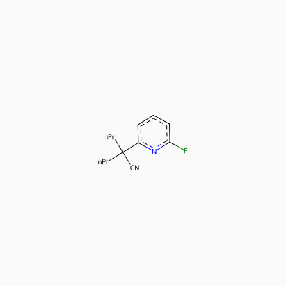 CCCC(C#N)(CCC)c1cccc(F)n1